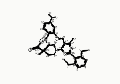 CCc1cccc(CC)c1-c1nc(C)c(COc2cc(C(C)C)ccc2C)c(N2CCC(C)(C(=O)O)CC2)n1